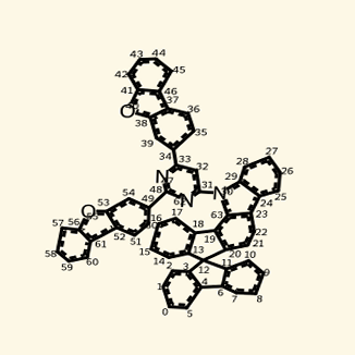 c1ccc2c(c1)-c1ccccc1C21c2ccccc2-c2c1ccc1c3ccccc3n(-c3cc(-c4ccc5c(c4)oc4ccccc45)nc(-c4ccc5c(c4)oc4ccccc45)n3)c21